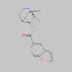 CC1(C)C(NC(=O)c2cc3ccoc3cn2)C2CCN1CC2